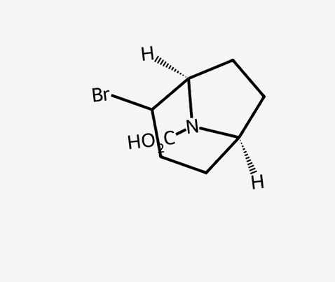 O=C(O)N1[C@@H]2CCC(Br)[C@H]1CC2